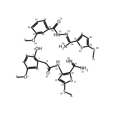 COc1ccc(O)c(CC(=O)Nc2cc(SC)sc2C(=N)N)c1.COc1cccc(C(=O)NN=C(N)c2ccc(SC)s2)c1